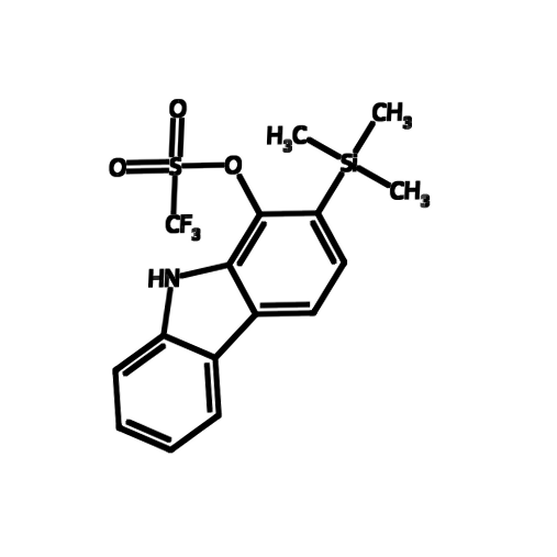 C[Si](C)(C)c1ccc2c([nH]c3ccccc32)c1OS(=O)(=O)C(F)(F)F